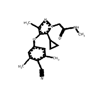 CNC(=O)Cn1nc(C)c(Oc2cc(C)c(C#N)c(C)c2)c1C1CC1